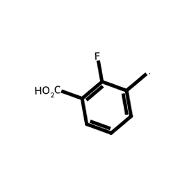 [CH2]c1cccc(C(=O)O)c1F